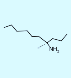 CCCCCC[C@](C)(N)CCC